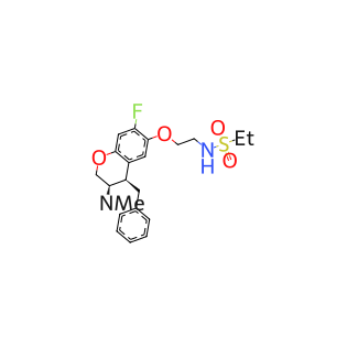 CCS(=O)(=O)NCCOc1cc2c(cc1F)OC[C@H](NC)[C@@H]2Cc1ccccc1